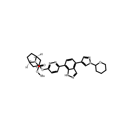 CC(C)(C)OC(=O)N1[C@@H]2CC[C@H]1C[C@@H](Oc1ccc(-c3ccc(-c4cnn(C5CCCCO5)c4)c4cn[nH]c34)nn1)C2